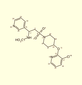 O=C(O)NC(CS(=O)(=O)N1CCC(Oc2ncccc2Cl)CC1)c1cccnc1